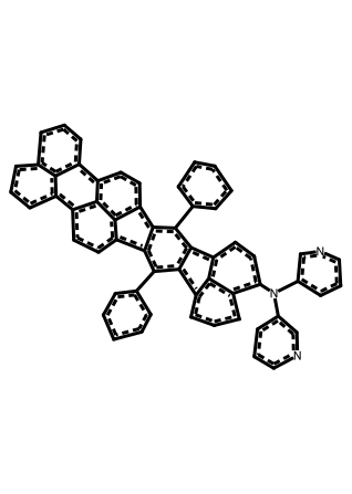 c1ccc(-c2c3c4cccc5c(N(c6cccnc6)c6cccnc6)ccc(c3c(-c3ccccc3)c3c6ccc7c8cccc9cccc(c%10ccc(c23)c6c%107)c98)c54)cc1